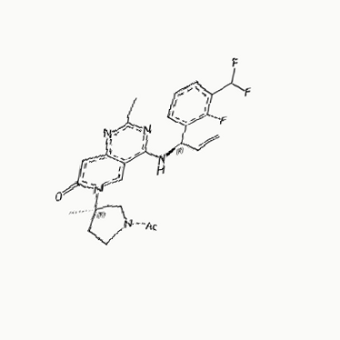 C=C[C@@H](Nc1nc(C)nc2cc(=O)n([C@]3(C)CCN(C(C)=O)C3)cc12)c1cccc(C(F)F)c1F